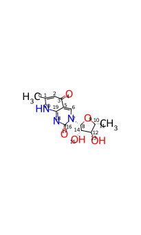 Cc1cc(=O)c2cn([C@@H]3O[C@H](C)C(O)[C@@H]3O)c(=O)nc2[nH]1